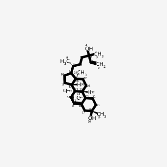 C=CC(C)(O)CC[C@@H](C)C1CC[C@H]2[C@@H]3CC=C4C[C@@](C)(O)CC[C@]4(C)[C@H]3CC[C@]12C